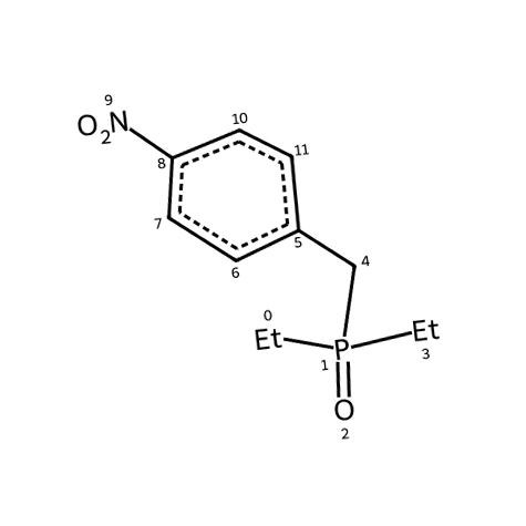 CCP(=O)(CC)Cc1ccc([N+](=O)[O-])cc1